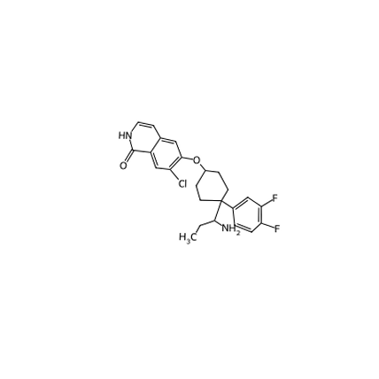 CCC(N)C1(c2ccc(F)c(F)c2)CCC(Oc2cc3cc[nH]c(=O)c3cc2Cl)CC1